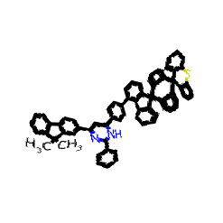 CC1(C)c2ccccc2-c2ccc(C3=NC(c4ccccc4)NC(c4ccc(-c5cccc6c5-c5ccccc5C65c6ccccc6C6(c7ccccc7Sc7ccccc76)c6ccccc65)cc4)=C3)cc21